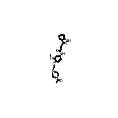 COc1cc(NC(=O)/C=C/c2n[nH]c3ccccc23)ccc1OCCN1CCN(C(C)=O)CC1